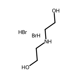 Br.Br.OCCNCCO